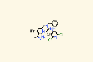 Cc1nn(C)c2nc(CN(Cc3ccccc3)/C(=C/C#N)Nc3cc(Cl)nc(Cl)c3)cc(C(C)C)c12